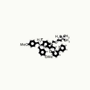 COc1ccc(CN(Cc2ccc(OC)cc2)c2nc3cc(Cn4c(-c5ccccn5)cccc4=O)n(COCC[Si](C)(C)C)c3cc2C)cc1